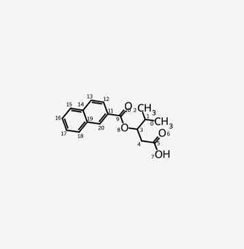 CC(C)C(CC(=O)O)OC(=O)c1ccc2ccccc2c1